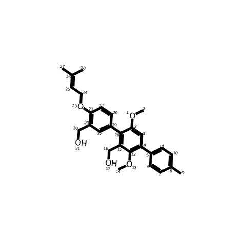 COc1cc(-c2ccc(C)cc2)c(OC)c(CO)c1-c1ccc(OCC=C(C)C)c(CO)c1